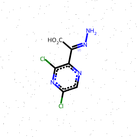 N/N=C(\C(=O)O)c1ncc(Cl)nc1Cl